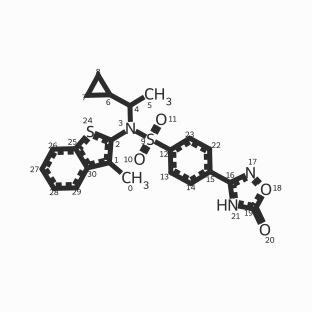 Cc1c(N(C(C)C2CC2)S(=O)(=O)c2ccc(-c3noc(=O)[nH]3)cc2)sc2ccccc12